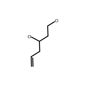 C=CCC(Cl)CCCl